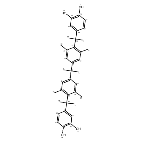 Cc1cc(C(C)(C)c2cc(C)c(C(C)(C)c3ccc(O)c(O)c3)c(C)c2)cc(C)c1C(C)(C)c1ccc(O)c(O)c1